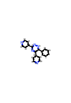 c1ccc(-c2nnc(-c3ccncc3)nc2-c2ccncc2)cc1